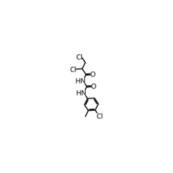 Cc1cc(NC(=O)NC(=O)C(Cl)CCl)ccc1Cl